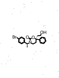 C[C@@H](c1ccc(Br)cc1)N1CC[C@](CCO)(c2ccccc2)OC1=O